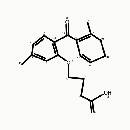 C=C(O)CCCOc1cc(C)ccc1C(=O)C1=C(C)CCC=C1